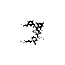 CCCCN1CCN([C@H](C)C(=O)N[C@@H](Cc2cc(F)cc(F)c2)[C@H](O)CNCc2cccc(CC)c2)CC1=O